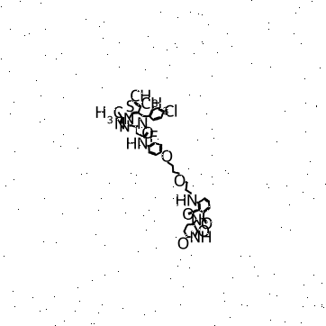 Cc1sc2c(c1C)C(c1ccc(Cl)cc1)=N[C@@H](CC(=O)Nc1ccc(OCCCCOCCCNc3cccc4c3C(=O)N(C3CCC(=O)NC3=O)C4=O)cc1F)c1nnc(C)n1-2